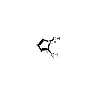 OB1C=CC=C1O